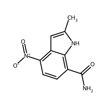 Cc1cc2c([N+](=O)[O-])ccc(C(N)=O)c2[nH]1